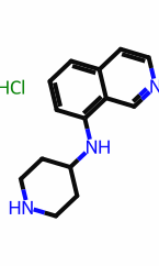 Cl.c1cc(NC2CCNCC2)c2cnccc2c1